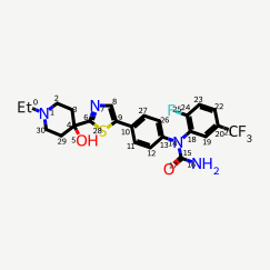 CCN1CCC(O)(c2ncc(-c3ccc(N(C(N)=O)c4cc(C(F)(F)F)ccc4F)cc3)s2)CC1